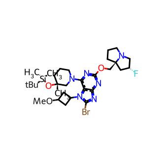 COC1CC(n2c(Br)nc3nc(OC[C@@]45CCCN4C[C@H](F)C5)nc(N4CCC[C@@](C)(O[Si](C)(C)C(C)(C)C)C4)c32)C1